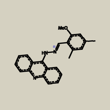 COc1cc(C)cc(C)c1/C=N/Nc1c2ccccc2nc2ccccc12